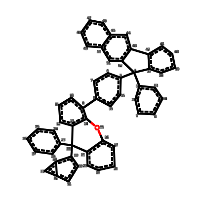 c1ccc(C2(c3ccc(-c4cccc5c4Oc4ccccc4C5(c4ccccc4)c4ccc5cc4-5)cc3)c3ccccc3-c3cc4ccccc4cc32)cc1